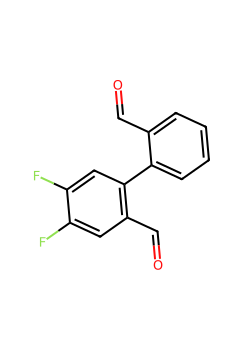 O=Cc1ccccc1-c1cc(F)c(F)cc1C=O